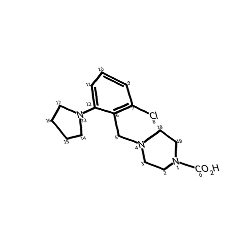 O=C(O)N1CCN(Cc2c(Cl)cccc2N2CCCC2)CC1